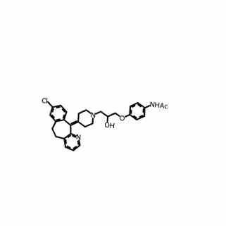 CC(=O)Nc1ccc(OCC(O)CN2CCC(=C3c4ccc(Cl)cc4CCc4cccnc43)CC2)cc1